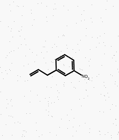 C=CCc1[c]ccc([N+](=O)[O-])c1